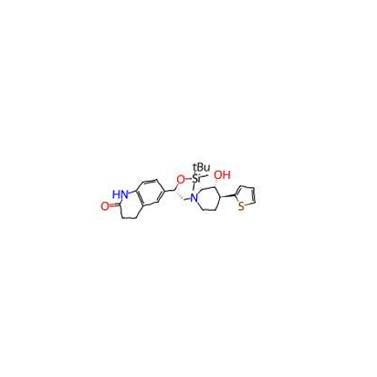 CC(C)(C)[Si](C)(C)O[C@H](CN1CC[C@H](c2cccs2)[C@@H](O)C1)c1ccc2c(c1)CCC(=O)N2